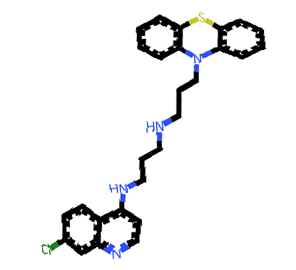 Clc1ccc2c(NCCCNCCCN3c4ccccc4Sc4ccccc43)ccnc2c1